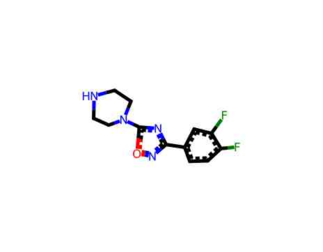 Fc1ccc(-c2noc(N3CCNCC3)n2)cc1F